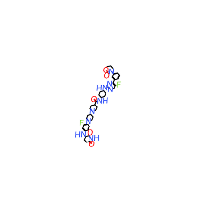 O=C1CC[C@H](Nc2ccc(N3CCC(N4CCC(C(=O)N[C@H]5CC[C@H](Nc6ncc(F)c(-c7cccc(N8CCCOC8=O)c7)n6)CC5)CC4)CC3)c(F)c2)C(=O)N1